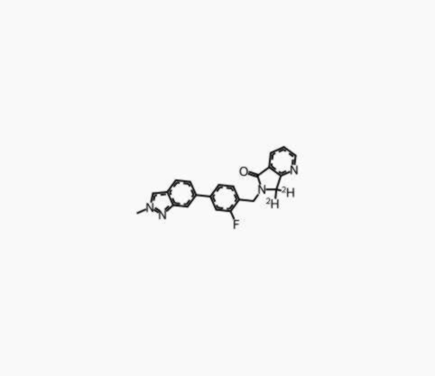 [2H]C1([2H])c2ncccc2C(=O)N1Cc1ccc(-c2ccc3cn(C)nc3c2)cc1F